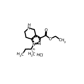 CCOC(=O)c1nn([C@H](C)CC)c2c1CNCC2.Cl